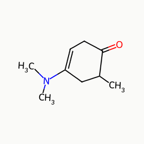 CC1CC(N(C)C)=CCC1=O